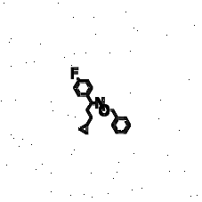 Fc1ccc(C(CCC2CC2)=NOCc2ccccc2)cc1